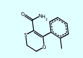 Cc1ccccc1C1=C(C(N)=O)SCCO1